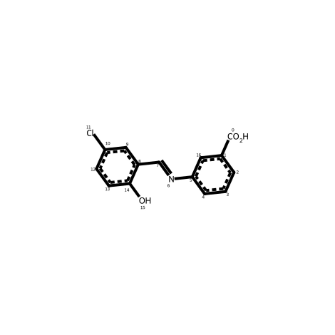 O=C(O)c1cccc(N=Cc2cc(Cl)ccc2O)c1